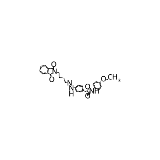 CCOc1ccc(NS(=O)(=O)c2ccc(NN=CCCCN3C(=O)c4ccccc4C3=O)cc2)cc1